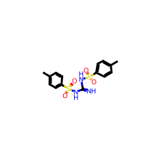 Cc1ccc(S(=O)(=O)NC(=N)NS(=O)(=O)c2ccc(C)cc2)cc1